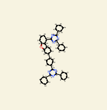 c1ccc(-c2nc(-c3ccccc3)nc(-c3ccc(-c4ccc5c(c4)oc4cccc(-c6nc(-c7ccccc7)nc(-c7ccccc7)n6)c45)cc3)n2)cc1